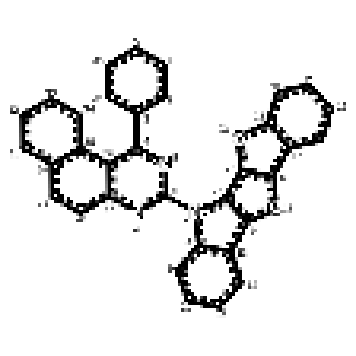 c1ccc(-c2nc(-n3c4ccccc4c4sc5c6ccccc6sc5c43)nc3ccc4ccccc4c23)cc1